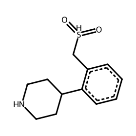 O=[SH](=O)Cc1ccccc1C1CCNCC1